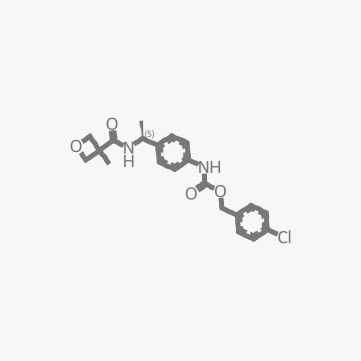 C[C@H](NC(=O)C1(C)COC1)c1ccc(NC(=O)OCc2ccc(Cl)cc2)cc1